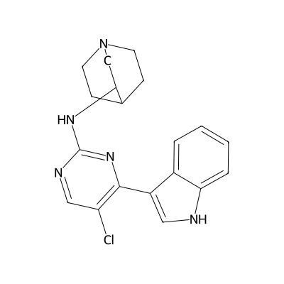 Clc1cnc(NC2CN3CCC2CC3)nc1-c1c[nH]c2ccccc12